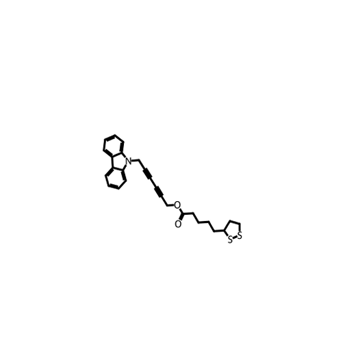 O=C(CCCCC1CCSS1)OCC#CC#CCn1c2ccccc2c2ccccc21